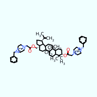 C=C(C)[C@@H]1CC[C@]2(COC(=O)C[N+]34CC[N+](Cc5ccccc5)(CC3)CC4)CC[C@]3(C)C(CCC4[C@@]5(C)CC[C@H](OC(=O)C[N+]67CC[N+](Cc8ccccc8)(CC6)CC7)C(C)(C)C5CC[C@]43C)C12